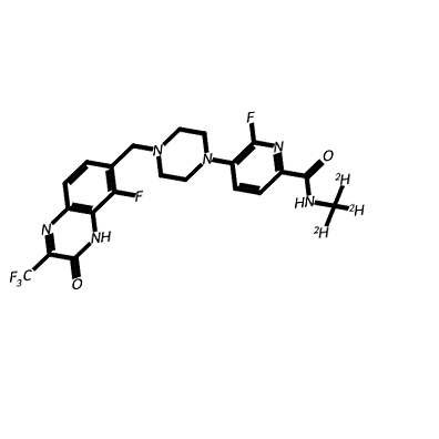 [2H]C([2H])([2H])NC(=O)c1ccc(N2CCN(Cc3ccc4nc(C(F)(F)F)c(=O)[nH]c4c3F)CC2)c(F)n1